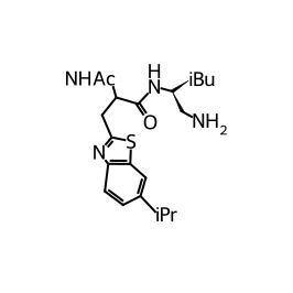 CC[C@H](C)[C@@H](CN)NC(=O)C(Cc1nc2ccc(C(C)C)cc2s1)NC(C)=O